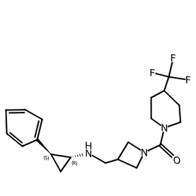 O=C(N1CCC(C(F)(F)F)CC1)N1CC(CN[C@@H]2C[C@H]2c2ccccc2)C1